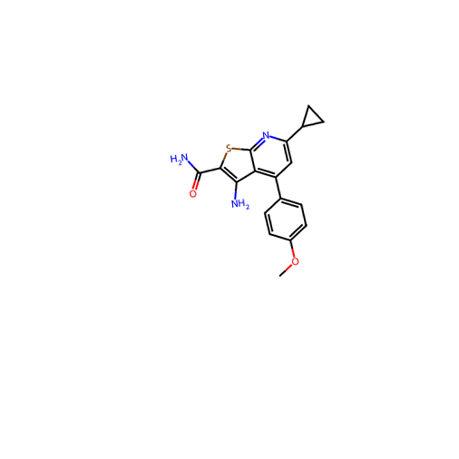 COc1ccc(-c2cc(C3CC3)nc3sc(C(N)=O)c(N)c23)cc1